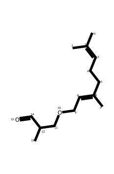 CC(C)=CCCC(C)=CCOCC(C)C=O